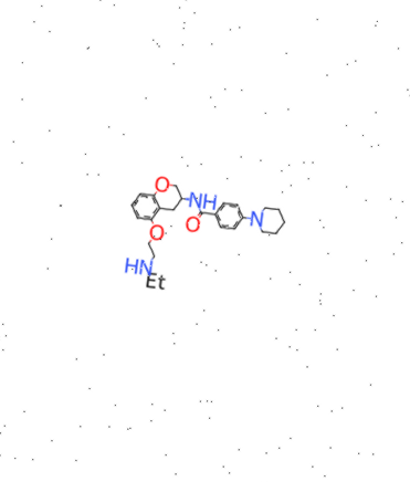 CCNCCOc1cccc2c1C[C@H](NC(=O)c1ccc(N3CCCCC3)cc1)CO2